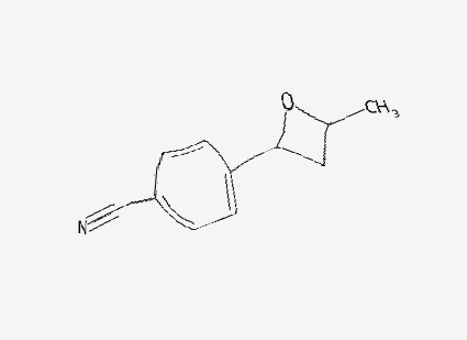 CC1CC(c2ccc(C#N)cc2)O1